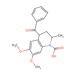 COc1cc2c(cc1OC)N(C(=O)O)C(C)CC2C(=O)c1ccccc1